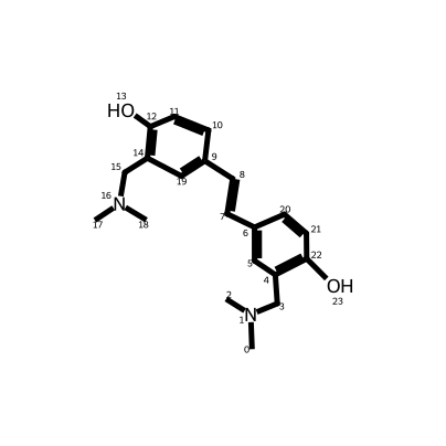 CN(C)Cc1cc(C=Cc2ccc(O)c(CN(C)C)c2)ccc1O